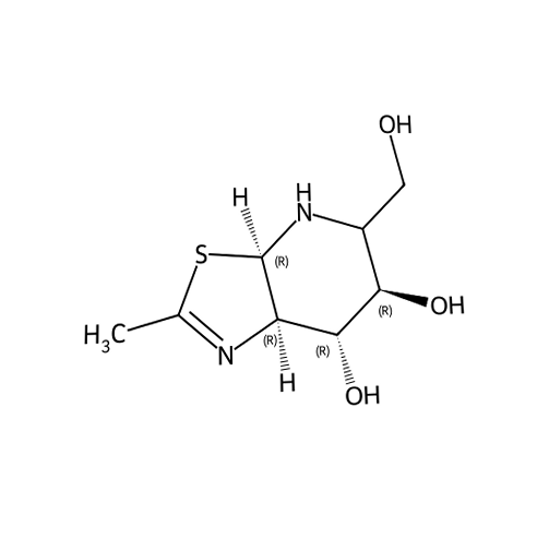 CC1=N[C@@H]2[C@@H](O)[C@H](O)C(CO)N[C@@H]2S1